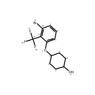 OC1CCC(Oc2cccc(Br)c2C(F)(F)F)CC1